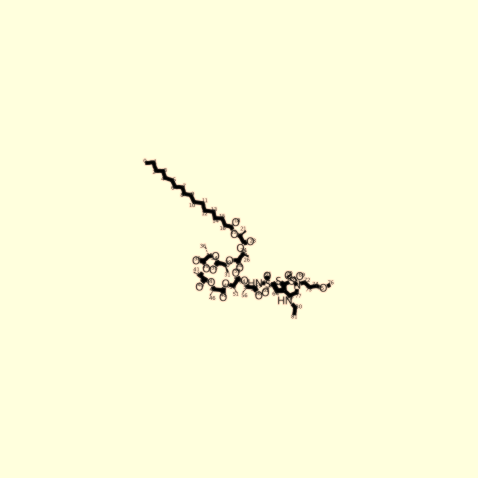 CCCCCCCCCCCCCCCCCC(=O)O[C@@H](C)C(=O)O[C@@H](C)C(=O)O[C@@H](C)C(=O)O[C@@H](C)C(=O)O[C@@H](C)C(=O)O[C@@H](C)C(=O)O[C@@H](C)C(=O)O[C@@H](C)C(=O)NS(=O)(=O)c1cc2c(s1)S(=O)(=O)N(CCCOC)C[C@@H]2NCC